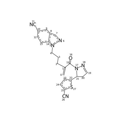 C=C(CCCn1ncc2cc(C#N)ccc21)C(=O)N1N=CCC1c1ccc(C#N)s1